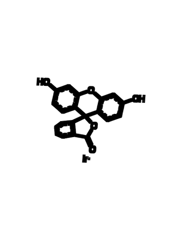 O=C1OC2(c3ccc(O)cc3Oc3cc(O)ccc32)c2ccccc21.[Ir]